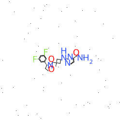 CC1(C(=O)N2OCC[C@H]2c2cc(F)cc(F)c2)CC(Nc2nccc(C(N)=O)n2)C1